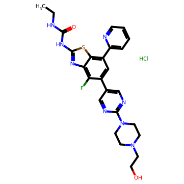 CCNC(=O)Nc1nc2c(F)c(-c3cnc(N4CCN(CCO)CC4)nc3)cc(-c3ccccn3)c2s1.Cl